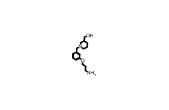 NCCCOc1cccc(CN2CCCC(CO)C2)c1